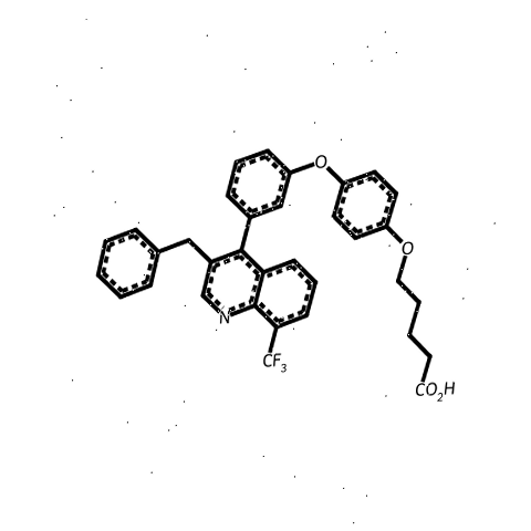 O=C(O)CCCCOc1ccc(Oc2cccc(-c3c(Cc4ccccc4)cnc4c(C(F)(F)F)cccc34)c2)cc1